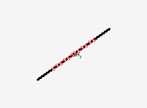 CCCCCCCCCCCCCOCCOCCOCCOCCOCCO[SiH2]OCCOCCOCCOCCOCCOCCCCCCCCCCCCC